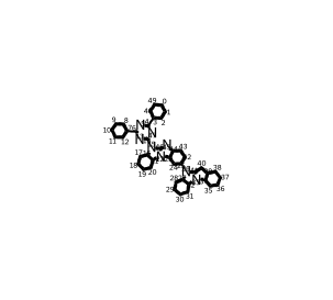 c1ccc(-c2nc(-c3ccccc3)nc(-n3c4ccccc4n4c5cc(-n6c7ccccc7n7c8ccccc8cc67)ccc5nc34)n2)cc1